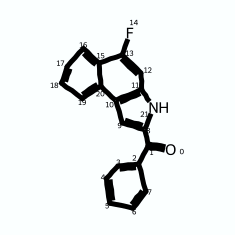 O=C(c1ccccc1)c1cc2c(cc(F)c3ccccc32)[nH]1